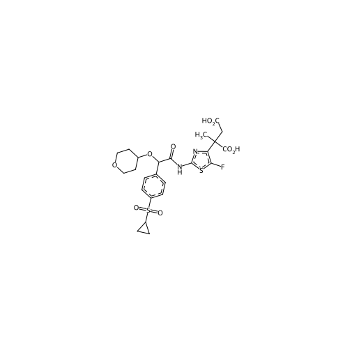 CC(CC(=O)O)(C(=O)O)c1nc(NC(=O)C(OC2CCOCC2)c2ccc(S(=O)(=O)C3CC3)cc2)sc1F